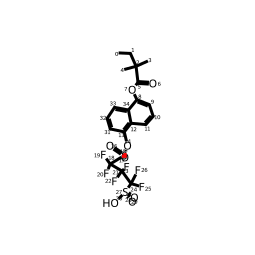 CCC(C)(C)C(=O)Oc1cccc2c(OS(=O)(=O)C(F)(F)C(F)(F)C(F)(F)S(=O)(=O)O)cccc12